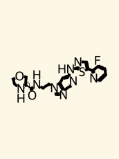 O=C(NCCn1cnc2cnc(Nc3ncc(-c4ncccc4F)s3)cc21)[C@@H]1COCCN1